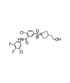 O=C(Nc1cc(F)c(F)c(Cl)c1)c1cc(S(=O)(=O)N2CCC(CCO)CC2)ccc1Cl